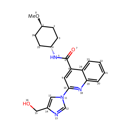 CO[C@H]1CC[C@H](NC(=O)c2cc(-n3cnc(CO)c3)nc3ccccc23)CC1